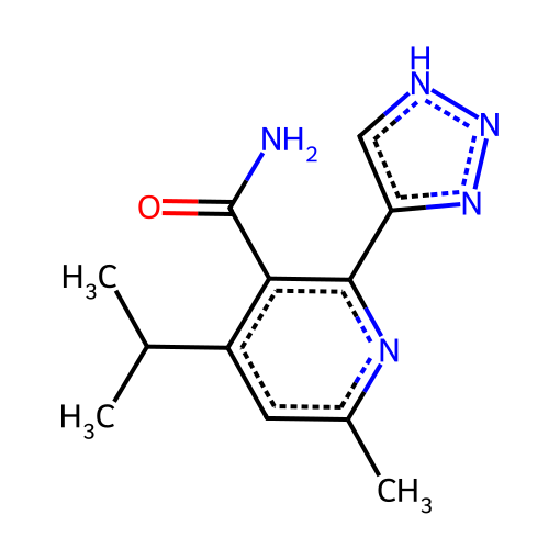 Cc1cc(C(C)C)c(C(N)=O)c(-c2c[nH]nn2)n1